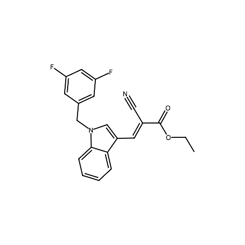 CCOC(=O)/C(C#N)=C/c1cn(Cc2cc(F)cc(F)c2)c2ccccc12